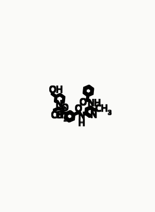 C=CC(N1CCCC(CO)C1)S(=O)(=O)c1cccc(C(=O)Nc2cnc(C)c(NC(=O)c3ccccc3)c2)c1